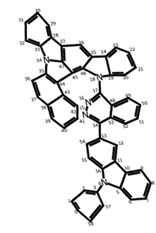 c1ccc(-n2c3ccccc3c3cc(-c4nnc(-n5c6ccccc6c6cc7c8ccccc8n8c9ccc%10ccccc%10c9c(c65)c78)c5ccccc45)ccc32)cc1